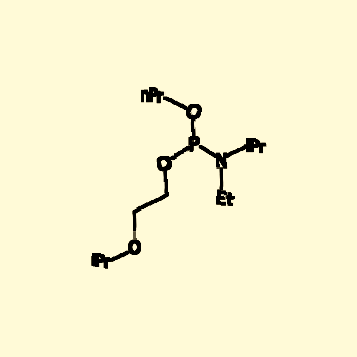 CCCOP(OCCOC(C)C)N(CC)C(C)C